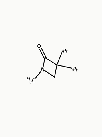 CC(C)C1(C(C)C)CN(C)C1=O